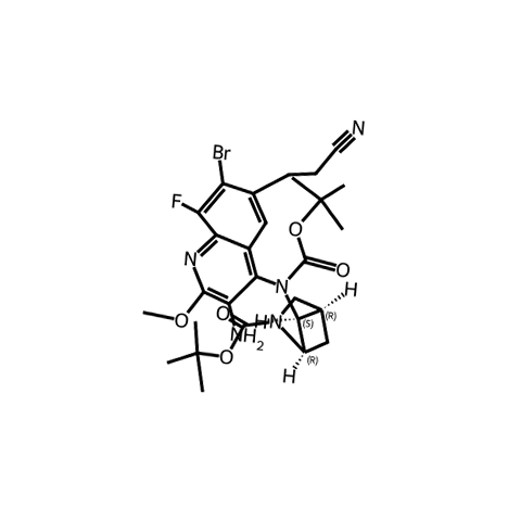 COc1nc2c(F)c(Br)c(CCC#N)cc2c(N(C(=O)OC(C)(C)C)[C@H]2[C@@H]3C[C@H]2N(C(=O)OC(C)(C)C)C3)c1N